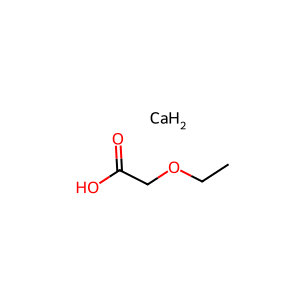 CCOCC(=O)O.[CaH2]